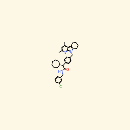 Cc1cc(C)c2c3c(n(Cc4ccc(C(C(=O)NCc5cccc(Cl)c5)C5CCCCCC5)cc4)c2n1)CCCC3